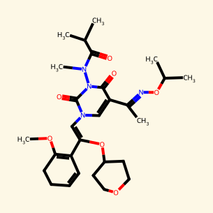 COC1=C(/C(=C/n2cc(/C(C)=N/OC(C)C)c(=O)n(N(C)C(=O)C(C)C)c2=O)OC2CCOCC2)C=CCC1